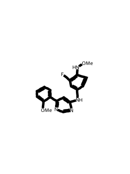 CONc1ccc(Nc2cc(-c3ccccc3OC)ncn2)cc1F